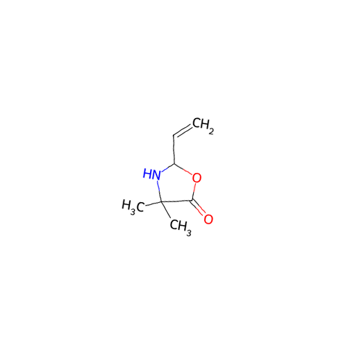 C=CC1NC(C)(C)C(=O)O1